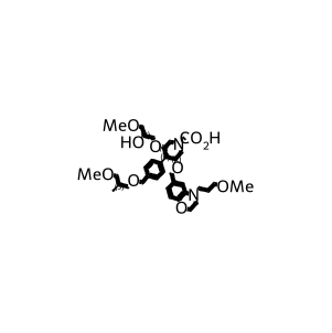 COCCCN1CCOc2ccc(CO[C@H]3CN(C(=O)O)C[C@@H](OC[C@H](O)COC)[C@@H]3c3ccc(COC[C@@H](C)COC)cc3)cc21